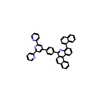 c1ccc(-c2cc(-c3ccc(-c4nc5c(-c6cccc7ccccc67)cccc5c5c4ccc4ccccc45)cc3)cc(-c3ccccn3)n2)nc1